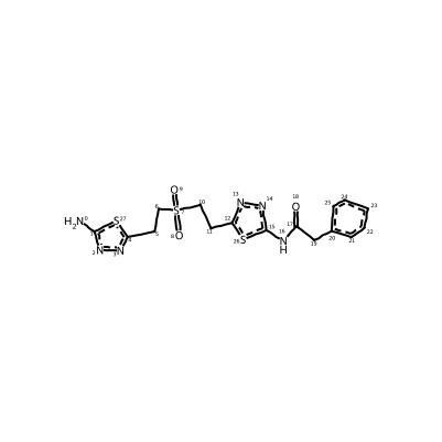 Nc1nnc(CCS(=O)(=O)CCc2nnc(NC(=O)Cc3ccccc3)s2)s1